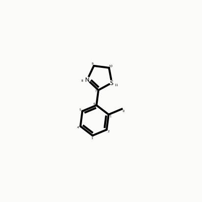 Cc1ccccc1C1=NCCS1